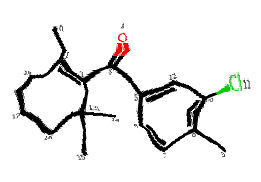 CC1=C(C(=O)c2ccc(C)c(Cl)c2)C(C)(C)CCC1